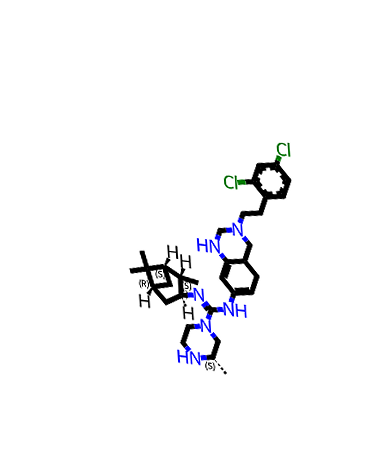 C[C@@H]1[C@@H](N=C(NC2=CCC3CN(CCc4ccc(Cl)cc4Cl)CNC3=C2)N2CCN[C@@H](C)C2)C[C@H]2C[C@@H]1C2(C)C